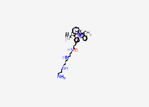 CC1(C)C(/C2=C/C=C\C=C/CC23Nc2ccccc2C3(C)C)=[N+](CCCCCC(=O)NCCCNCCCCNCCCN)c2ccccc21.[I-]